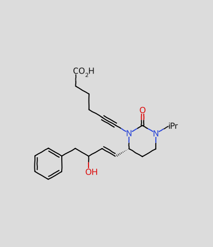 CC(C)N1CC[C@H](/C=C/C(O)Cc2ccccc2)N(C#CCCCC(=O)O)C1=O